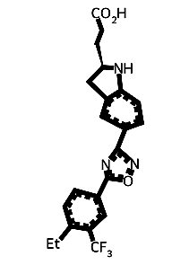 CCc1ccc(-c2nc(-c3ccc4c(c3)C[C@@H](CCC(=O)O)N4)no2)cc1C(F)(F)F